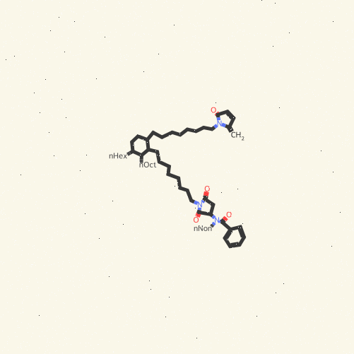 C=C1C=CC(=O)N1CCCCCCCCC1CCC(CCCCCC)C(CCCCCCCC)C1CCCCCCCCN1C(=O)CC(N(CCCCCCCCC)C(=O)c2ccccc2)C1=O